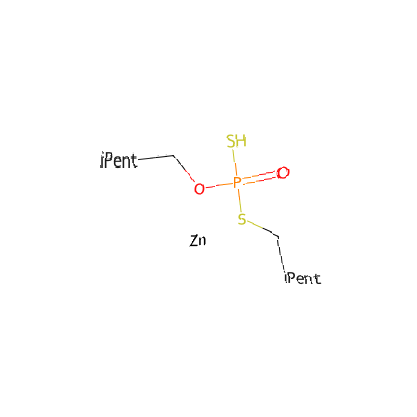 CCCC(C)COP(=O)(S)SCC(C)CCC.[Zn]